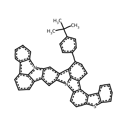 CC(C)(C)c1ccc(-c2ccc3c4c5c(ccc4n4c6cc7c8cccc9c%10ccccc%10n(c7cc6c2c34)c98)sc2ccccc25)cc1